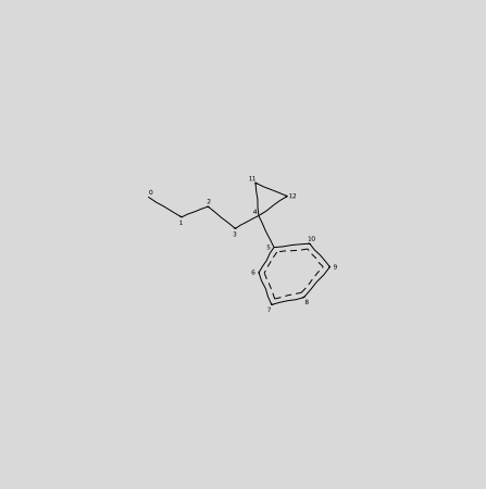 CCCCC1(c2ccccc2)CC1